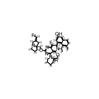 CCc1c(F)ccc2cc(O)cc(-c3nc4c5c(nc(OC[C@@]67CCCN6C/C(=C\F)C7)nc5c3F)N3CCCC[C@H]3CO4)c12